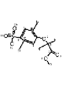 COC(=O)C(C)(C)Oc1cc(C)c(S(=O)(=O)Cl)cc1C